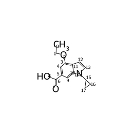 CCOc1cc(C(=O)O)cc2c1ccn2C1CC1